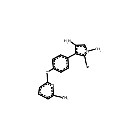 Cc1cccc(Oc2ccc(-c3c(N)cn(C)c3Br)cc2)n1